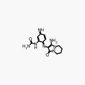 N=C1C=CC(=Nc2c(N)n3n(c2=O)CCCC3)C(NC(N)=O)=C1